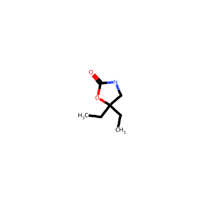 CCC1(CC)C[N]C(=O)O1